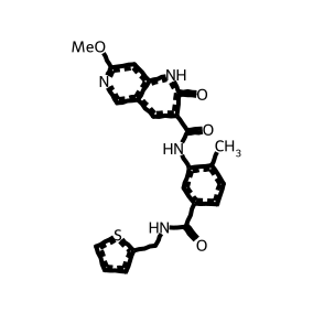 COc1cc2[nH]c(=O)c(C(=O)Nc3cc(C(=O)NCc4cccs4)ccc3C)cc2cn1